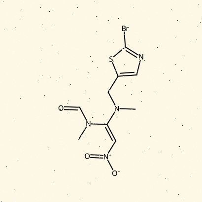 CN(C=O)C(=C[N+](=O)[O-])N(C)Cc1cnc(Br)s1